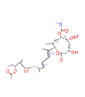 CCC(OC(C)=O)C(C)C1OC1CC(C)/C=C/C=C(\C)C1OC(=O)CC(O)CCC(C)(O)C(OC(=O)N(C)C)/C=C/C1C